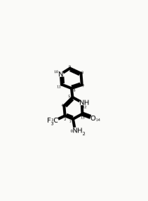 Nc1c(C(F)(F)F)cc(-c2cccnc2)[nH]c1=O